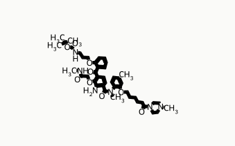 CNC(=O)COc1c(C(=O)c2ccccc2OCCCNC(=O)OC(C)(C)C)ccc(C(=O)N(C)c2ccc(C)cc2OCCCCCC(=O)N2CCN(C)CC2)c1N